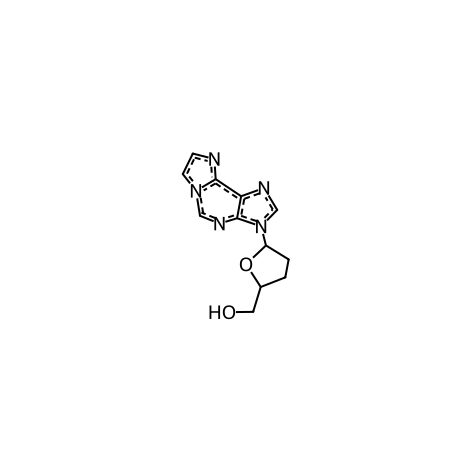 OCC1CCC(n2cnc3c2ncn2ccnc32)O1